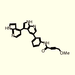 COCC#CC(=O)Nc1cccc(-c2cnc3[nH]cc(-c4ccnc5[nH]ccc45)c3c2)c1